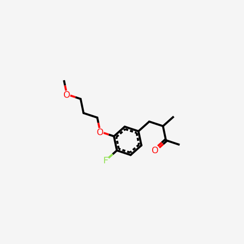 COCCCOc1cc(CC(C)C(C)=O)ccc1F